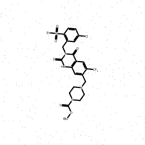 CCS(=O)(=O)c1ccc(Cl)cc1Cn1c(=O)[nH]c2cc(CN3CCN(C(=O)OC(C)(C)C)CC3)c(C(F)(F)F)cc2c1=O